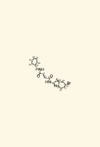 O=C(/C=C/C(=O)Nc1nc2ccc(Br)cc2s1)NCc1ccccc1